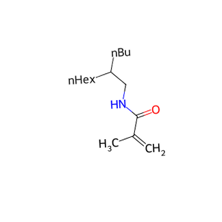 C=C(C)C(=O)NCC(CCCC)CCCCCC